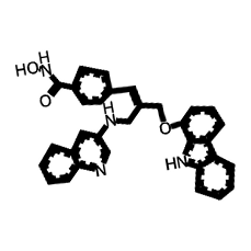 O=C(NO)c1ccc(C=C(CNc2cnc3ccccc3c2)COc2cccc3c2[nH]c2ccccc23)cc1